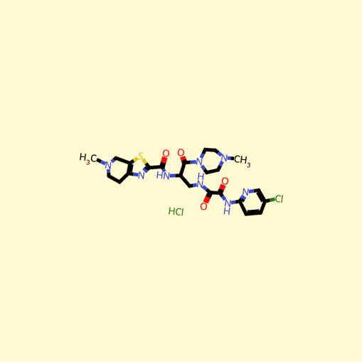 CN1CCN(C(=O)C(CNC(=O)C(=O)Nc2ccc(Cl)cn2)NC(=O)c2nc3c(s2)CN(C)CC3)CC1.Cl